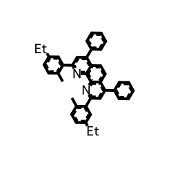 CCc1ccc(C)c(-c2cc(-c3ccccc3)c3ccc4c(-c5ccccc5)cc(-c5cc(CC)ccc5C)nc4c3n2)c1